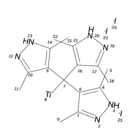 Cc1n[nH]c(C)c1[C]([Ti])(c1c(C)n[nH]c1C)c1c(C)n[nH]c1C.[I].[I].[I]